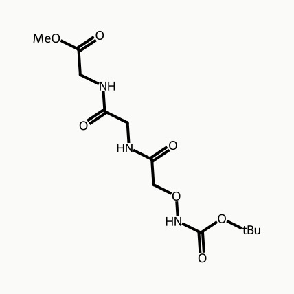 COC(=O)CNC(=O)CNC(=O)CONC(=O)OC(C)(C)C